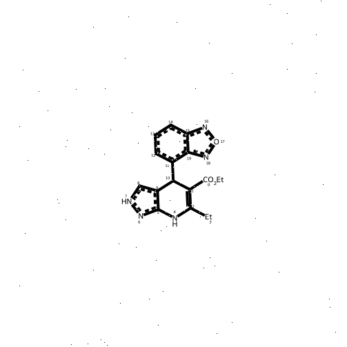 CCOC(=O)C1=C(CC)Nc2n[nH]cc2C1c1cccc2nonc12